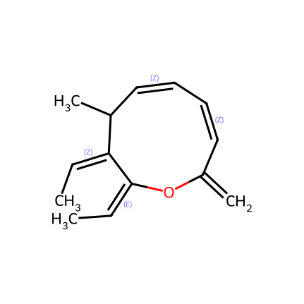 C=C1/C=C\C=C/C(C)C(=C/C)/C(=C\C)O1